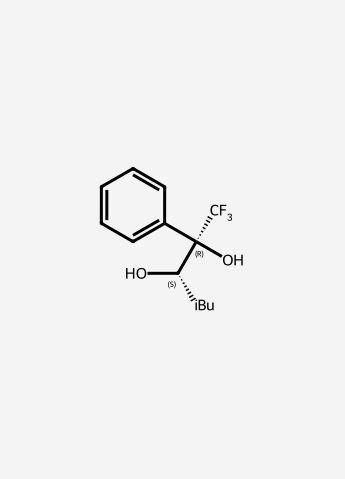 CCC(C)[C@H](O)[C@](O)(c1ccccc1)C(F)(F)F